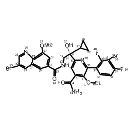 CCOc1c(C(N)=O)cc([C@@](O)(CNC(=O)c2cc(OC)c3ncc(Br)cc3c2)C2CC2)nc1-c1ccc(F)c(Br)c1F